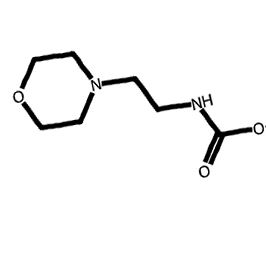 [O]C(=O)NCCN1CCOCC1